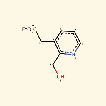 CCOC(=O)Cc1cccnc1CO